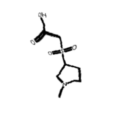 CN1CCC(S(=O)(=O)CC(=O)O)C1